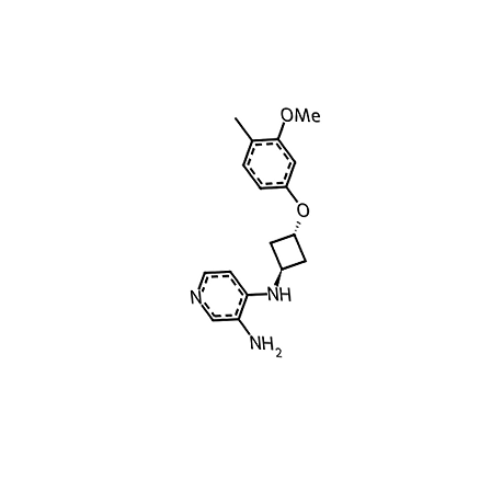 COc1cc(O[C@H]2C[C@H](Nc3ccncc3N)C2)ccc1C